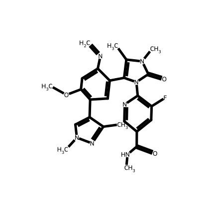 C=Nc1cc(OC)c(-c2cn(C)nc2C)cc1-c1c(C)n(C)c(=O)n1-c1ncc(C(=O)NC)cc1F